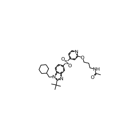 CC(=O)NCCCOc1cc(S(=O)(=O)c2ccc3c(c2)nc(C(C)(C)C)n3CC2CCCCC2)ccn1